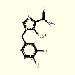 COC(=O)c1ncn(Cc2ccc(Cl)c(Cl)c2)c1C(=O)O